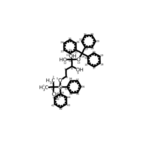 CC(C)(C)[Si](OCCC(O)C(O)(O)OC(c1ccccc1)(c1ccccc1)c1ccccc1)(c1ccccc1)c1ccccc1